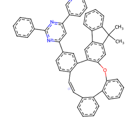 CC1(C)c2ccccc2-c2cc3c(cc21)Oc1ccccc1-c1ccccc1/C=C\c1ccc(-c2cc(-c4cccnc4)nc(-c4ccccc4)n2)cc1-3